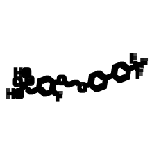 O=P(O)(Cc1ccc(OCCOc2ccc(-c3ccc(C(F)(F)F)cc3)cc2)c(F)c1)OO